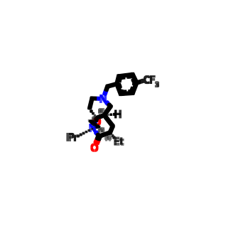 CC[C@H]1C[C@@H]2CN(Cc3ccc(C(F)(F)F)cc3)CC[C@@]23OC[C@H](C(C)C)N3C1=O